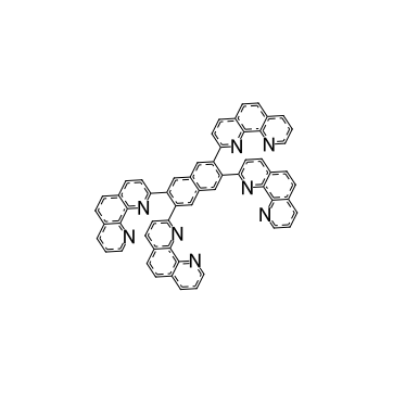 c1cnc2c(c1)ccc1ccc(-c3cc4cc(-c5ccc6ccc7cccnc7c6n5)c(-c5ccc6ccc7cccnc7c6n5)cc4cc3-c3ccc4ccc5cccnc5c4n3)nc12